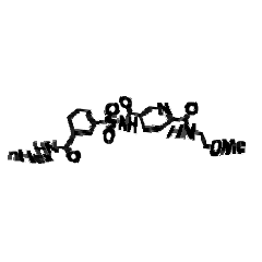 CCCCCCNC(=O)c1cccc(S(=O)(=O)NC(=O)c2ccc(C(=O)NCCOC)nc2)c1